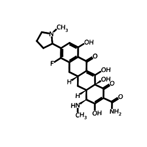 CN[C@@H]1C(O)=C(C(N)=O)C(=O)[C@@]2(O)C(O)=C3C(=O)c4c(O)cc(C5CCCN5C)c(F)c4C[C@H]3C[C@@H]12